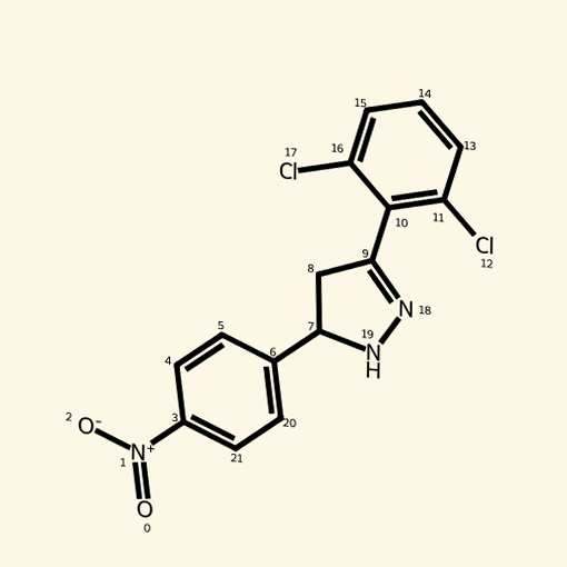 O=[N+]([O-])c1ccc(C2CC(c3c(Cl)cccc3Cl)=NN2)cc1